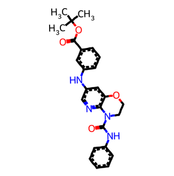 CC(C)(C)OC(=O)c1cccc(Nc2cnc3c(c2)OCCN3C(=O)Nc2ccccc2)c1